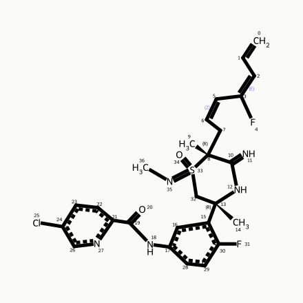 C=C/C=C(F)\C=C/C[C@]1(C)C(=N)N[C@](C)(c2cc(NC(=O)c3ccc(Cl)cn3)ccc2F)CS1(=O)=NC